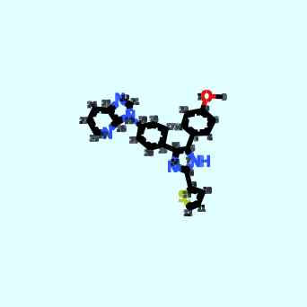 COc1ccc(-c2[nH]c(-c3cccs3)nc2-c2ccc(-n3cnc4cccnc43)cc2)cc1